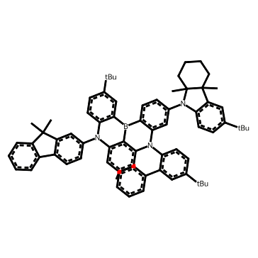 Cc1cc2c3c(c1)N(c1ccc(C(C)(C)C)cc1-c1ccccc1)c1cc(N4c5ccc(C(C)(C)C)cc5C5(C)CCCCC45C)ccc1B3c1cc(C(C)(C)C)ccc1N2c1ccc2c(c1)C(C)(C)c1ccccc1-2